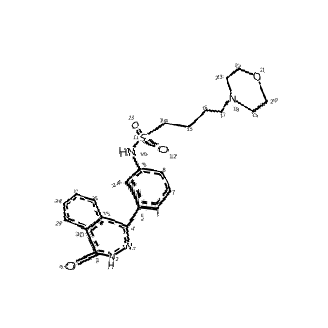 O=c1[nH]nc(-c2cccc(NS(=O)(=O)CCCCN3CCOCC3)c2)c2ccccc12